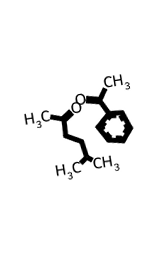 CC(=O)CCC(C)C.CC(=O)c1ccccc1